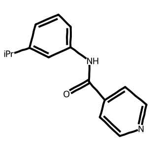 CC(C)c1cccc(NC(=O)c2ccncc2)c1